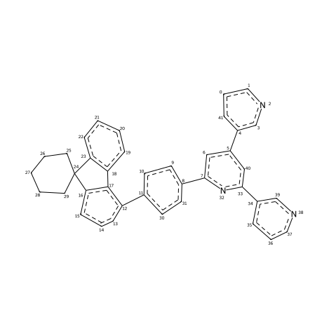 c1cncc(-c2cc(-c3ccc(-c4cccc5c4-c4ccccc4C54CCCCC4)cc3)nc(-c3cccnc3)c2)c1